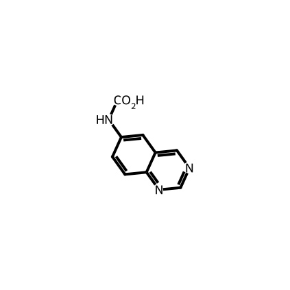 O=C(O)Nc1ccc2ncncc2c1